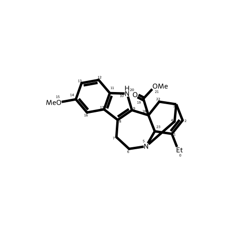 CCC1=CC2CN3CCc4c([nH]c5ccc(OC)cc45)C(C(=O)OC)(C2)C13